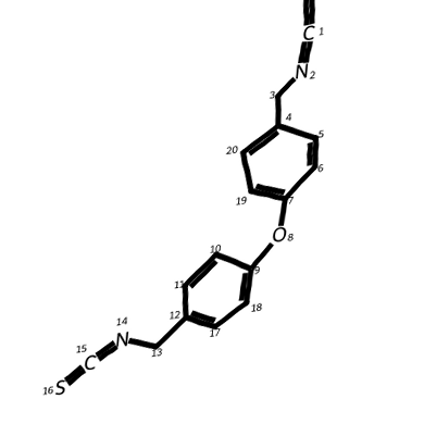 S=C=NCc1ccc(Oc2ccc(CN=C=S)cc2)cc1